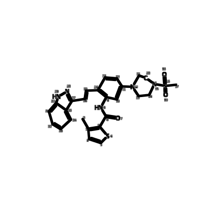 Cc1ccsc1C(=O)Nc1cc(N2CCN(S(C)(=O)=O)CC2)ccc1/C=C/c1n[nH]c2ccccc12